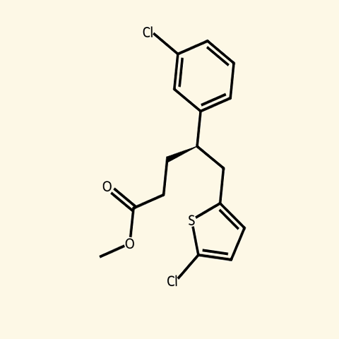 COC(=O)CC[C@H](Cc1ccc(Cl)s1)c1cccc(Cl)c1